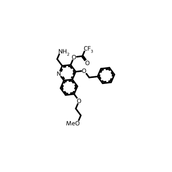 COCCOc1ccc2nc(CN)c(OC(=O)C(F)(F)F)c(OCc3ccccc3)c2c1